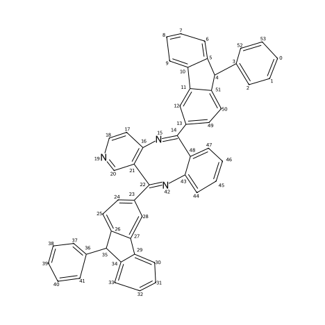 c1ccc(C2c3ccccc3-c3cc(/C4=N/c5ccncc5/C(c5ccc6c(c5)-c5ccccc5C6c5ccccc5)=N\c5ccccc54)ccc32)cc1